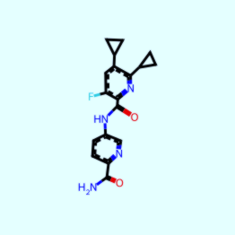 NC(=O)c1ccc(NC(=O)c2nc(C3CC3)c(C3CC3)cc2F)cn1